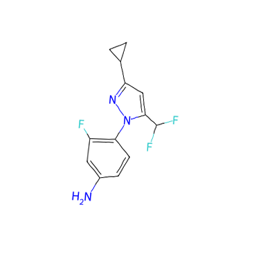 Nc1ccc(-n2nc(C3CC3)cc2C(F)F)c(F)c1